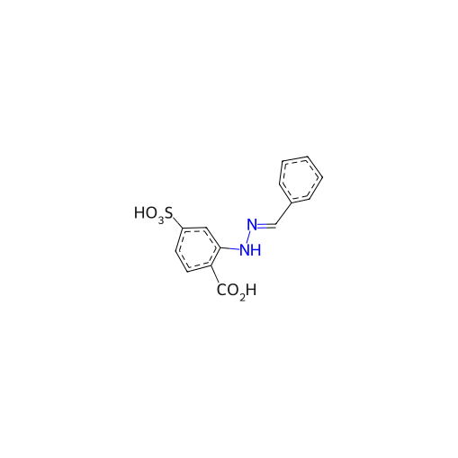 O=C(O)c1ccc(S(=O)(=O)O)cc1N/N=C/c1ccccc1